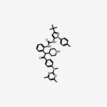 Cc1ccc(-n2nc(C(C)(C)C)cc2NC(=O)Nc2ccccc2C(C(=O)c2ccc(N(C)c3nc(C)cc(C)n3)cc2)C2CCNCC2)cc1